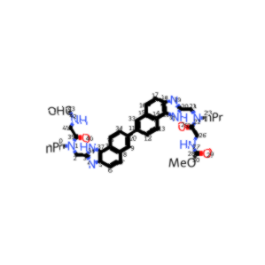 CCCN(Cc1nc2ccc3cc(-c4ccc5c(ccc6nc(CN(CCC)C(=O)CNC(=O)OC)[nH]c65)c4)ccc3c2[nH]1)C(=O)CNC=O